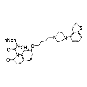 CCCCCCCCCN(C)C(=O)n1c(=O)ccc2ccc(OCCCCN3CCN(c4cccc5sccc45)CC3)cc21